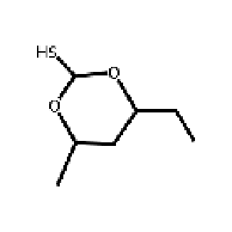 CCC1CC(C)OC(S)O1